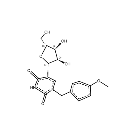 COc1ccc(Cn2cc([C@@H]3O[C@H](CO)[C@@H](O)[C@H]3O)c(=O)[nH]c2=O)cc1